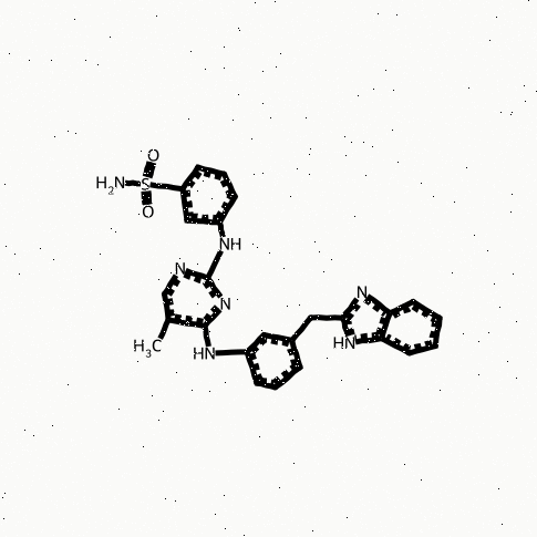 Cc1cnc(Nc2cccc(S(N)(=O)=O)c2)nc1Nc1cccc(Cc2nc3ccccc3[nH]2)c1